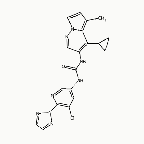 Cc1ccn2ncc(NC(=O)Nc3cnc(-n4nccn4)c(Cl)c3)c(C3CC3)c12